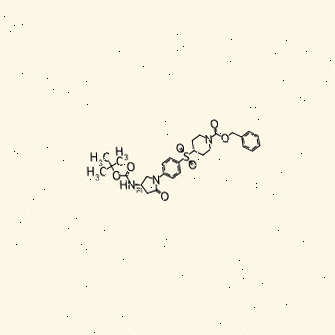 CC(C)(C)OC(=O)N[C@@H]1CC(=O)N(c2ccc(S(=O)(=O)C3CCN(C(=O)OCc4ccccc4)CC3)cc2)C1